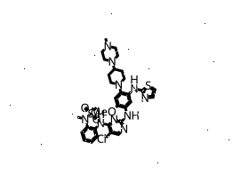 COc1cc(N2CCC(N3CCN(C)CC3)CC2)c(Nc2nccs2)cc1Nc1ncc(Cl)c(Nc2ccccc2N(C)S(C)(=O)=O)n1